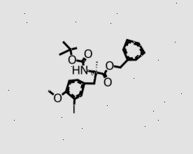 COc1ccc(C[C@@](C)(NC(=O)OC(C)(C)C)C(=O)OCc2ccccc2)cc1I